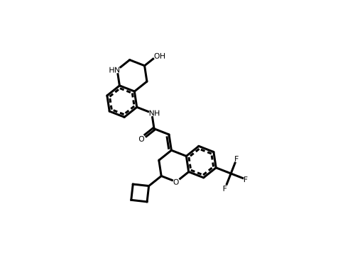 O=C(C=C1CC(C2CCC2)Oc2cc(C(F)(F)F)ccc21)Nc1cccc2c1CC(O)CN2